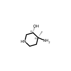 C[C@]1(N)CCNC[C@@H]1O